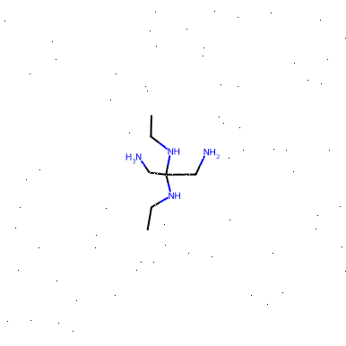 CCNC(CN)(CN)NCC